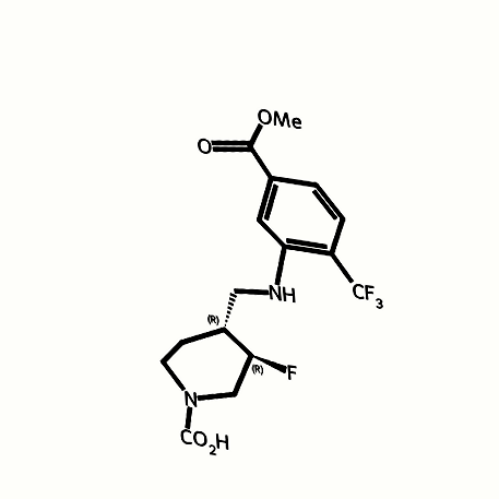 COC(=O)c1ccc(C(F)(F)F)c(NC[C@H]2CCN(C(=O)O)C[C@@H]2F)c1